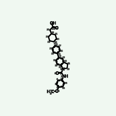 COc1ccc(NC(=O)N2CCc3cc(-c4ccc([C@H]5CC[C@H](CC(=O)O)CC5)cc4)ccc32)cc1